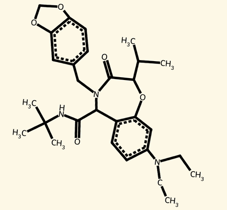 CCN(CC)c1ccc2c(c1)OC(C(C)C)C(=O)N(Cc1ccc3c(c1)OCO3)C2C(=O)NC(C)(C)C